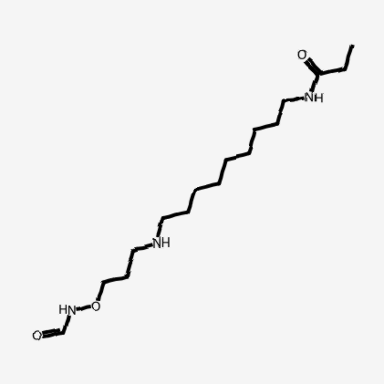 CCC(=O)NCCCCCCCCCNCCCONC=O